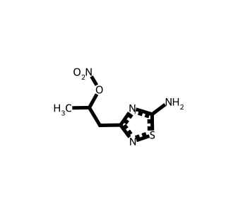 CC(Cc1nsc(N)n1)O[N+](=O)[O-]